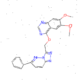 COc1cc2ncnc(OCc3nnc4ccc(-c5ccccc5)nn34)c2cc1OC